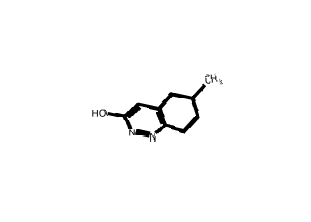 CC1CCc2nnc(O)cc2C1